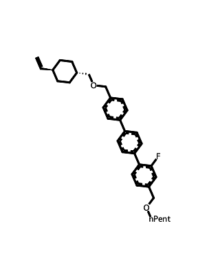 C=C[C@H]1CC[C@H](COCc2ccc(-c3ccc(-c4ccc(COCCCCC)cc4F)cc3)cc2)CC1